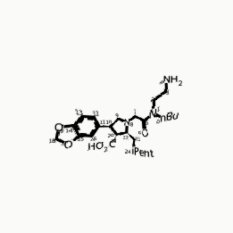 CCCCN(CCN)C(=O)CN1C[C@H](c2ccc3c(c2)OCO3)[C@@H](C(=O)O)[C@@H]1CC(C)CCC